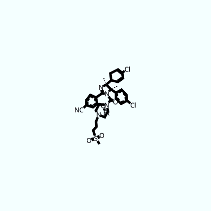 CCOc1cc(C#N)ccc1C1=N[C@@](C)(C2C=CC(Cl)=CC2)[C@@](C)(c2ccc(Cl)cc2)N1C(=O)N1CCN(CCCS(C)(=O)=O)CC1